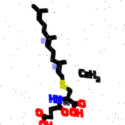 CC(C)=CCC/C(C)=C/CC/C(C)=C/CSC[C@H](NC(=O)CCC(=O)O)C(=O)O.[CaH2]